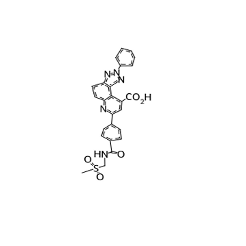 CS(=O)(=O)CNC(=O)c1ccc(-c2cc(C(=O)O)c3c(ccc4nn(-c5ccccc5)nc43)n2)cc1